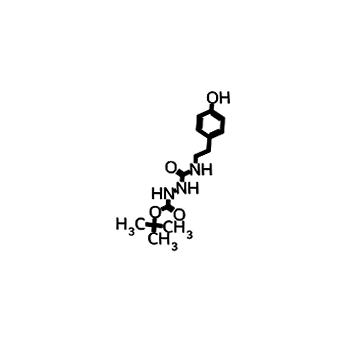 CC(C)(C)OC(=O)NNC(=O)NCCc1ccc(O)cc1